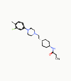 Cc1ccc(N2CCN(CC[C@H]3CC[C@H](NC(=O)CC#N)CC3)CC2)cc1F